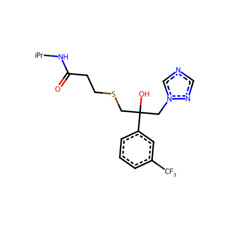 CC(C)NC(=O)CCSCC(O)(Cn1cncn1)c1cccc(C(F)(F)F)c1